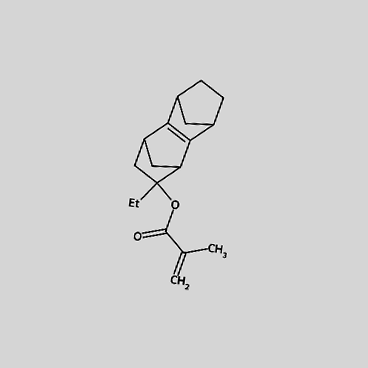 C=C(C)C(=O)OC1(CC)CC2CC1C1=C2C2CCC1C2